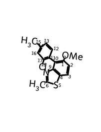 COc1ccc2sc(C)nc2c1-c1ccc(C)cc1Cl